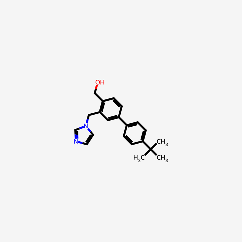 CC(C)(C)c1ccc(-c2ccc(CO)c(Cn3ccnc3)c2)cc1